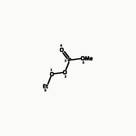 CCOO[P](=O)OC